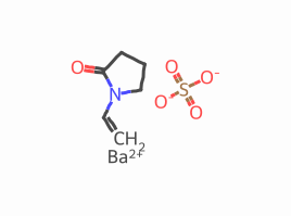 C=CN1CCCC1=O.O=S(=O)([O-])[O-].[Ba+2]